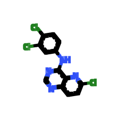 Clc1ccc2ncnc(Nc3ccc(Cl)c(Cl)c3)c2n1